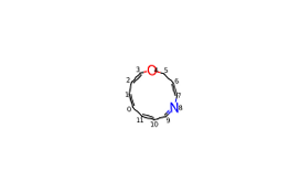 C1=CC=COCC=CN=CC=C1